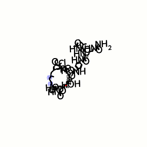 COc1cc2cc(c1Cl)N(C)C(=O)C[C@H](OC(O)Nc1ccc(NC(=O)[C@H](CCCNC(N)=O)NC(=O)[C@@H](NC(C)=O)C(C)C)cc1)[C@@H](C)[C@@H](O)[C@H](C)[C@@H]1C[C@@](O)(NC(=O)O1)[C@H](OC)/C=C/C=C(\C)C2